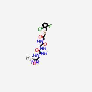 Cc1nonc1CNC(=N)C(=O)NCC(=O)NCC(=O)CSCc1c(F)cccc1Cl